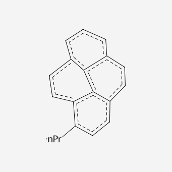 CC[CH]c1ccc2ccc3cccc4ccc1c2c34